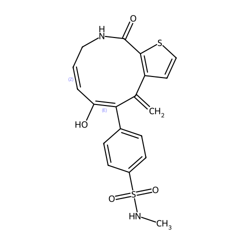 C=C1/C(c2ccc(S(=O)(=O)NC)cc2)=C(O)\C=C/CNC(=O)c2sccc21